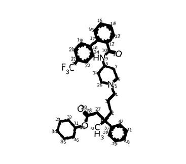 CC(CCCN1CCC(NC(=O)c2ccccc2-c2ccc(C(F)(F)F)cc2)CC1)(CC(=O)OC1CCCCC1)c1ccccc1